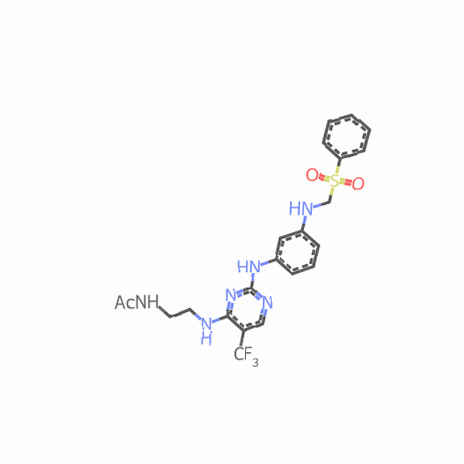 CC(=O)NCCNc1nc(Nc2cccc(NCS(=O)(=O)c3ccccc3)c2)ncc1C(F)(F)F